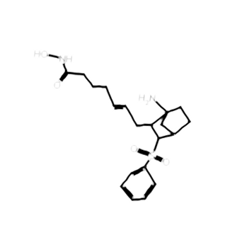 NC12CCC(C1)C(S(=O)(=O)c1ccccc1)C2CC=CCCCC(=O)NO